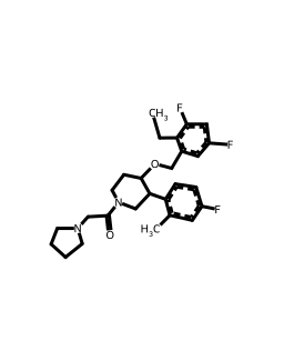 CCc1c(F)cc(F)cc1COC1CCN(C(=O)CN2CCCC2)CC1c1ccc(F)cc1C